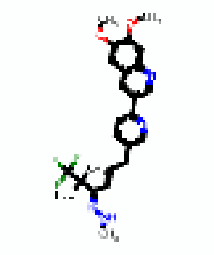 CN/N=C(\C=C\Cc1ccc(-c2cnc3cc(OC)c(OC)cc3c2)nc1)C(C)(C)C(F)(F)F